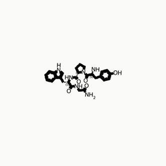 NC(=O)CNC(=O)[C@H](Cc1c[nH]c2ccccc12)NC(=O)[C@@H]1CCCN1C(=O)[C@@H](N)Cc1ccc(O)cc1